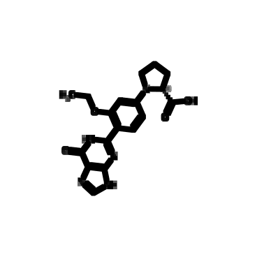 CCOc1cc(N2CCC[C@@H]2C(=O)O)ccc1-c1nc2[nH]cnc2c(=O)[nH]1